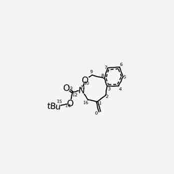 C=C1Cc2ccccc2CON(C(=O)OC(C)(C)C)C1